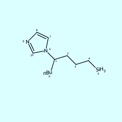 CCCCC(CCC[SiH3])n1ccnc1